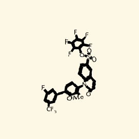 COc1cc(-c2cc(F)cc(C(F)(F)F)c2)ccc1-n1c(=O)ccc2cc(S(=O)(=O)Oc3c(F)c(F)c(F)c(F)c3F)ccc21